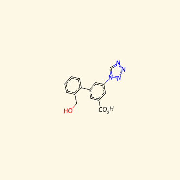 O=C(O)c1cc(-c2ccccc2CO)cc(-n2cnnn2)c1